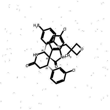 Bc1ccc(OCC2(C)COC2)c([C@H]2NC(=O)C[C@@H](c3cccc(Cl)c3)[C@]23C(=O)Nc2cc(Cl)ccc23)c1